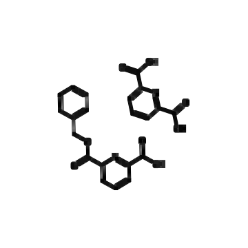 O=C(O)c1cccc(C(=O)O)n1.O=C(O)c1cccc(C(=O)OCc2ccccc2)n1